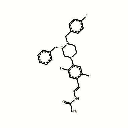 NC(=S)NN=Cc1cc(F)c(N2CCN(Cc3ccc(F)cc3)[C@@H](Cc3ccccc3)C2)cc1F